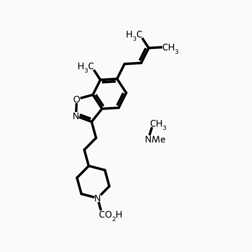 CC(C)=CCc1ccc2c(CCC3CCN(C(=O)O)CC3)noc2c1C.CNC